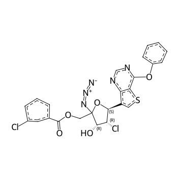 [N-]=[N+]=NC1(COC(=O)c2cccc(Cl)c2)O[C@@H](c2csc3c(Oc4ccccc4)ncnc23)[C@H](Cl)[C@@H]1O